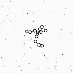 c1ccc(-c2ccc(N(c3ccc(-c4cccc(-c5ccc6ccccc6c5)c4)cc3)c3cc(-c4ccc5ccccc5c4)ccc3-c3ccc4ccccc4c3)cc2)cc1